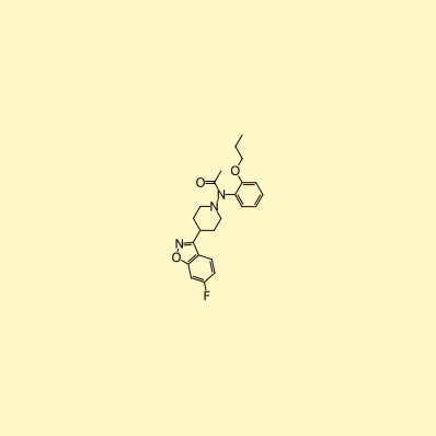 CCCOc1ccccc1N(C(C)=O)N1CCC(c2noc3cc(F)ccc23)CC1